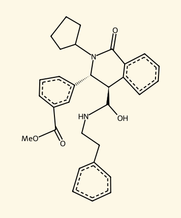 COC(=O)c1cccc([C@H]2[C@H](C(O)NCCc3ccccc3)c3ccccc3C(=O)N2C2CCCC2)c1